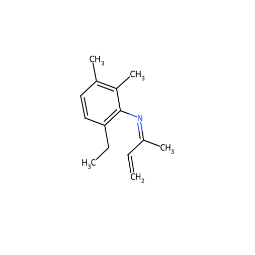 C=C/C(C)=N\c1c(CC)ccc(C)c1C